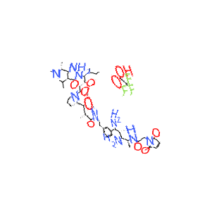 CC[C@H](C)[C@@H]([C@@H](CC(=O)N1CCC[C@H]1[C@H](OC)[C@@H](C)C(=O)N(C)CCc1cccc(C(N)[C@H](C)C(N)[C@H](C)NC(=O)CN2C(=O)C=CC2=O)c1)OC)N(C)C(=O)[C@@H](C(C)C)C(N)[C@@H](C)N(C)C.O=C(O)C(F)(F)F